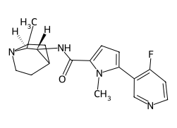 C[C@H]1[C@H](NC(=O)c2ccc(-c3cnccc3F)n2C)C2CCN1CC2